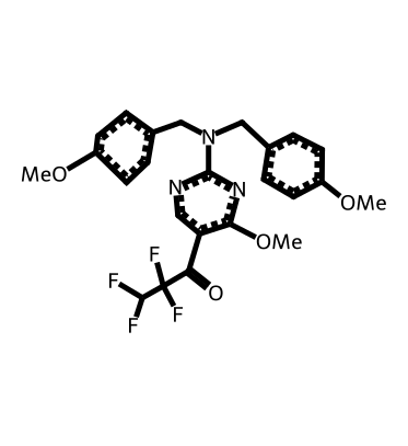 COc1ccc(CN(Cc2ccc(OC)cc2)c2ncc(C(=O)C(F)(F)C(F)F)c(OC)n2)cc1